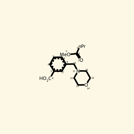 CCCC(=O)OC.O=C(O)c1cccc(CN2CCOCC2)c1